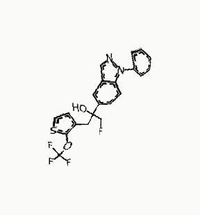 OC(CF)(Cc1ccsc1OC(F)(F)F)c1ccc2c(cnn2-c2ccccc2)c1